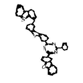 c1ccc(-c2nc(-c3ccc4c(c3)sc3ccc(-c5cccc6c5sc5ccccc56)cc34)nc(-c3ccc4oc5ccccc5c4c3)n2)cc1